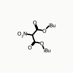 CCC(C)OC(=O)C(C(=O)OC(C)CC)[N+](=O)[O-]